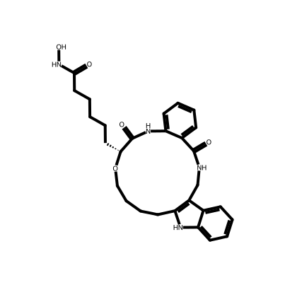 O=C(CCCCC[C@H]1OCCCCc2[nH]c3ccccc3c2CNC(=O)c2ccccc2NC1=O)NO